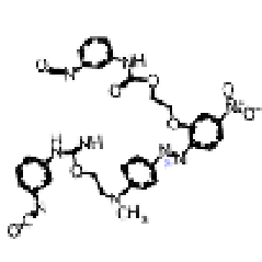 CN(CCOC(=N)Nc1cccc(N=C=O)c1)c1ccc(/N=N/c2ccc([N+](=O)[O-])cc2OCCOC(=O)Nc2cccc(N=C=O)c2)cc1